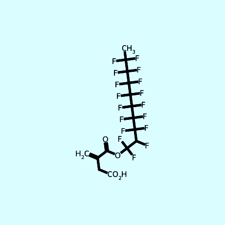 C=C(CC(=O)O)C(=O)OC(F)(F)C(F)C(F)(F)C(F)(F)C(F)(F)C(F)(F)C(F)(F)C(F)(F)C(C)(F)F